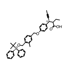 CC#C[C@H](c1ccc(OCc2ccc(CO[Si](c3ccccc3)(c3ccccc3)C(C)(C)C)c(C)c2)cc1)C(CC)C(=O)O